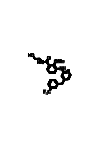 COc1c(Nc2cc(Cc3cccc(C(F)(F)F)c3)ccn2)cccc1C(=O)NCCO